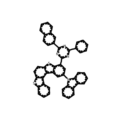 c1ccc(-c2nc(-c3ccc4ccccc4c3)nc(-c3cc(-n4c5ccccc5c5ccccc54)cc4c3sc3ccc5sc6ccccc6c5c34)n2)cc1